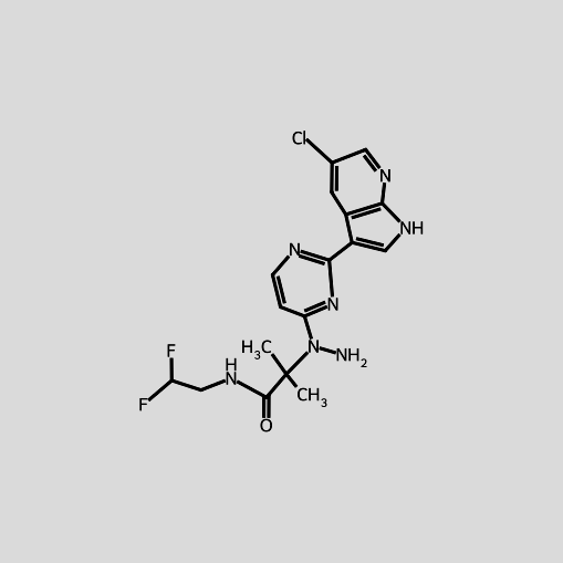 CC(C)(C(=O)NCC(F)F)N(N)c1ccnc(-c2c[nH]c3ncc(Cl)cc23)n1